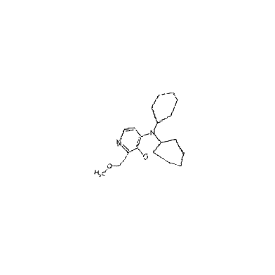 COCc1nccc(N(C2CCCCC2)C2CCCCC2)c1Cl